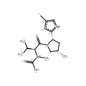 CC(C)[C@@H](C(=O)N1C[C@@H](C)C[C@H]1c1nc(I)c[nH]1)N(C)C(=O)O